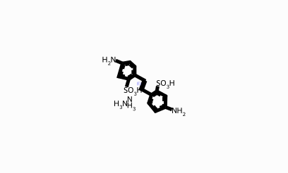 N.N.Nc1ccc(/C=C/c2ccc(N)cc2S(=O)(=O)O)c(S(=O)(=O)O)c1